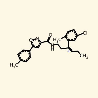 CC/C=C(/CCNC(=O)c1cc(-c2ccc(C)cc2)on1)c1cc(Cl)ccc1C